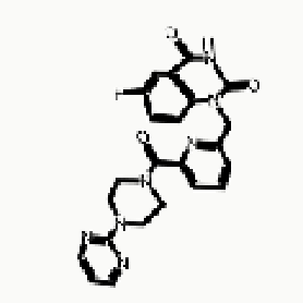 O=C(c1cccc(Cn2c(=O)[nH]c(=O)c3cc(F)ccc32)n1)N1CCN(c2ncccn2)CC1